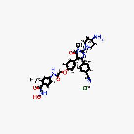 Cc1cc(NC(=O)COc2ccc(-c3c(-c4ccc(C#N)cc4)nc(N4CCC(N)CC4)n(C)c3=O)cc2)ccc1C(=O)NO.Cl